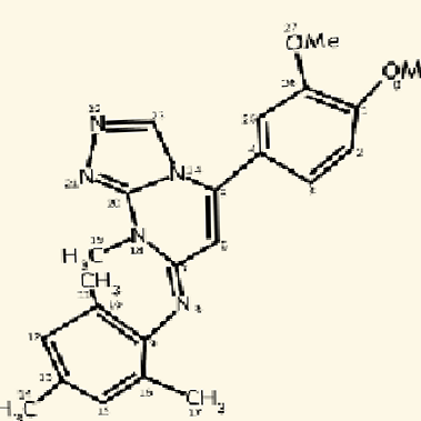 COc1ccc(-c2c/c(=N/c3c(C)cc(C)cc3C)n(C)c3nncn23)cc1OC